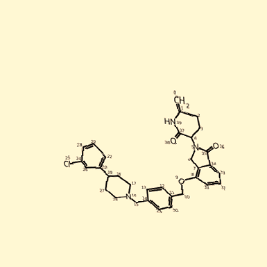 C=C1CCC(N2Cc3c(OCc4ccc(CN5CCC(c6cccc(Cl)c6)CC5)cc4)cccc3C2=O)C(=O)N1